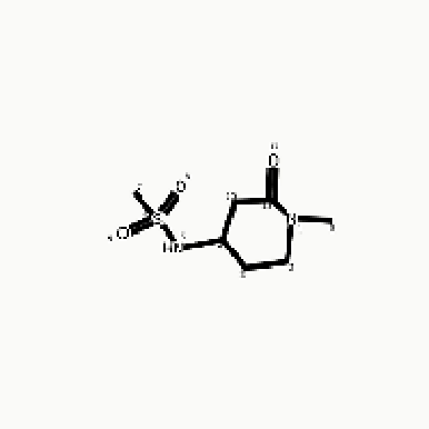 CN1CCC(NS(C)(=O)=O)CC1=O